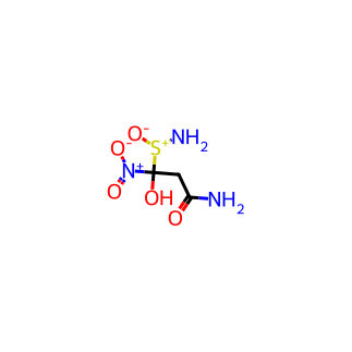 NC(=O)CC(O)([N+](=O)[O-])[S+](N)[O-]